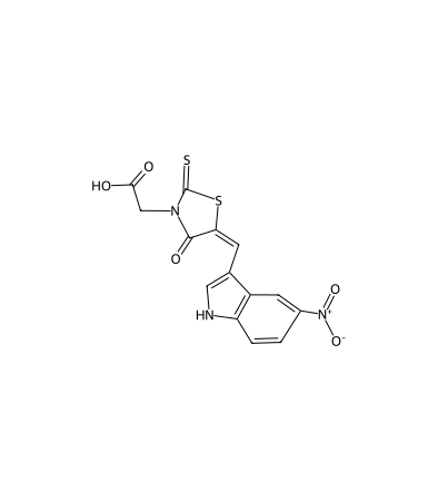 O=C(O)CN1C(=O)C(=Cc2c[nH]c3ccc([N+](=O)[O-])cc23)SC1=S